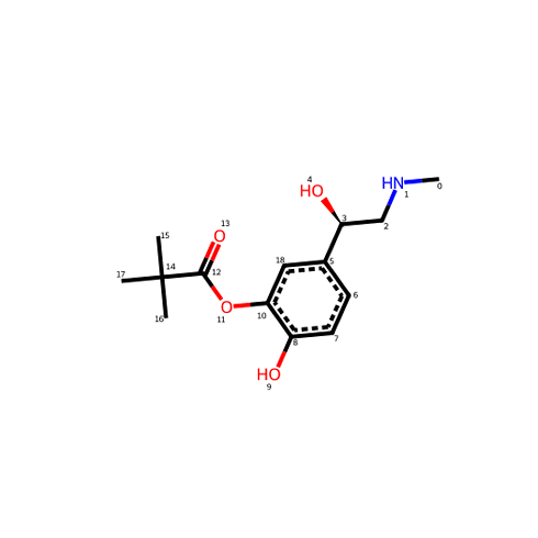 CNC[C@H](O)c1ccc(O)c(OC(=O)C(C)(C)C)c1